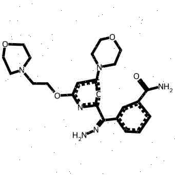 NN=C(c1cccc(C(N)=O)c1)c1cc(N2CCOCC2)cc(OCCN2CCOCC2)n1